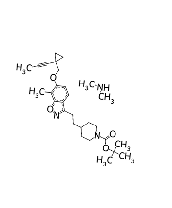 CC#CC1(COc2ccc3c(CCC4CCN(C(=O)OC(C)(C)C)CC4)noc3c2C)CC1.CNC